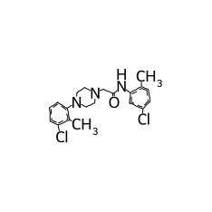 Cc1ccc(Cl)cc1NC(=O)CN1CCN(c2cccc(Cl)c2C)CC1